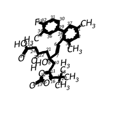 Cc1cc(C)c(/C=C/[C@@](O)(Cc2oc(=O)oc2C(C)(C)C)C[C@@H](O)CC(=O)O)c(-c2ccc(F)c(C)c2)c1